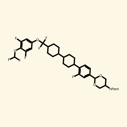 CCCCCC1COC(c2ccc(C3CCC(C4CCC(C(F)(F)Oc5cc(F)c(OC(F)F)c(F)c5)CC4)CC3)c(F)c2)OC1